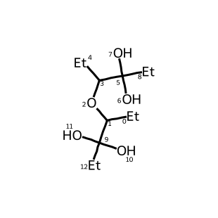 CCC(OC(CC)C(O)(O)CC)C(O)(O)CC